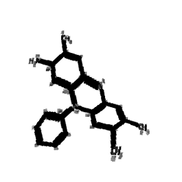 CC1=CC2=Nc3cc(C)c(C)cc3N(c3ccccc3)C2=CC1N